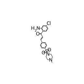 CN1CCN(S(=O)(=O)c2ccc(/C=C/C(=O)c3ccc(Cl)cc3N)cc2)CC1